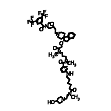 CN(CCN1CCC(O)CC1)C(=O)CCCCCNc1ccc(C(=O)N(C)CCCN(C)C(=O)CO[C@H]2Cc3ccccc3C23CCN(CCC2CN(C(=O)c4cc(C(F)(F)F)cc(C(F)(F)F)c4)CO2)CC3)s1